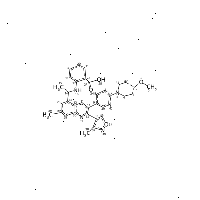 COC1CCN(c2ccc(-c3cc4c(C(C)Nc5ccccc5C(=O)O)cc(C)cc4nc3-c3conc3C)cn2)CC1